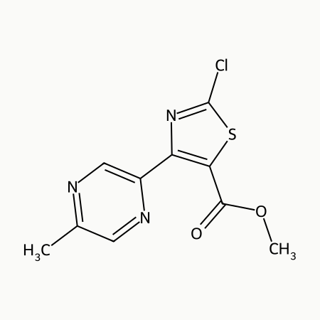 COC(=O)c1sc(Cl)nc1-c1cnc(C)cn1